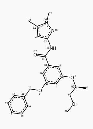 COC[C@H](C)Oc1cc(OCc2ccccc2)cc(C(=O)Nc2cc(C)n(C)n2)c1